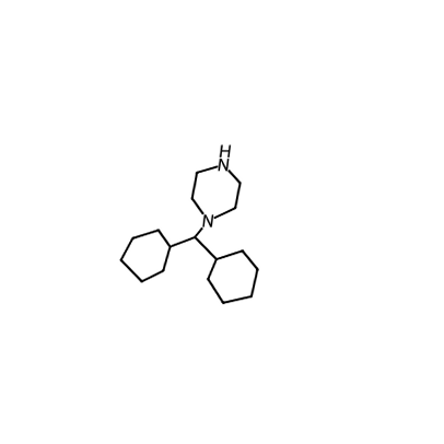 C1CCC(C(C2CCCCC2)N2CCNCC2)CC1